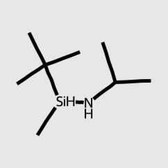 CC(C)N[SiH](C)C(C)(C)C